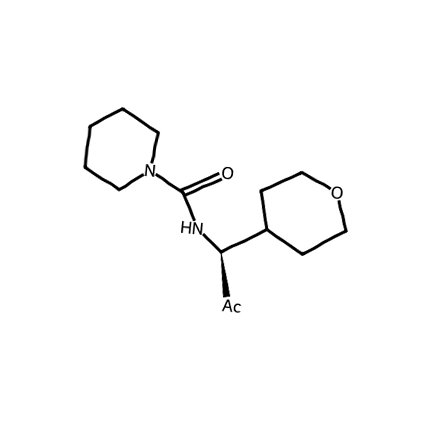 CC(=O)[C@@H](NC(=O)N1CCCCC1)C1CCOCC1